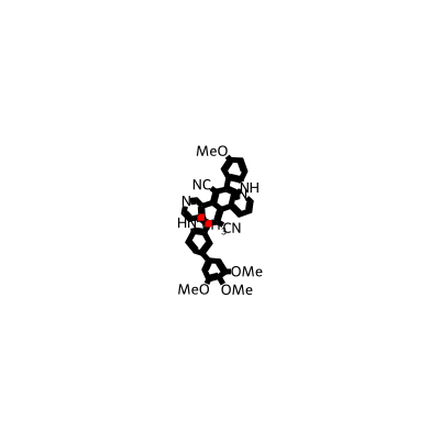 COc1ccc2[nH]cc(/C(C#N)=C(\C(=C(\C#N)c3c[nH]c4ccc(-c5cc(OC)c(OC)c(OC)c5)cc34)c3cccnc3)c3cnccc3C)c2c1